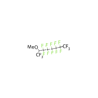 COC(C(F)(F)F)C(F)(F)C(F)(F)C(F)(F)C(F)(F)C(F)(F)C(F)(F)F